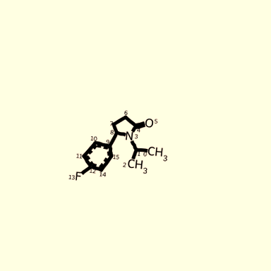 CC(C)N1C(=O)CCC1c1ccc(F)cc1